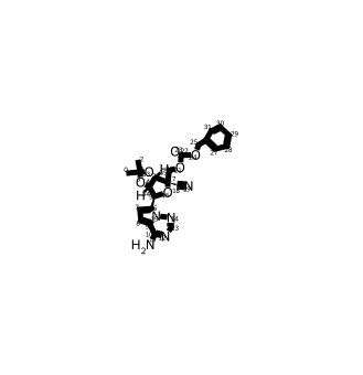 CC1(C)O[C@H]2[C@H](c3ccc4c(N)ncnn34)O[C@](C#N)(COC(=O)OCc3ccccc3)[C@H]2O1